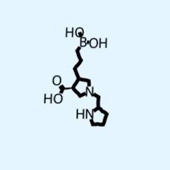 O=C(O)[C@@H]1CN(CC2CCCN2)CC1CCCB(O)O